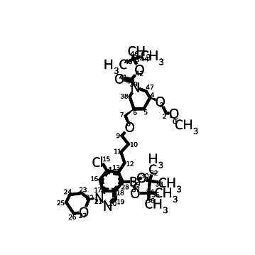 COCO[C@H]1C[C@@H](COCCCCc2c(Cl)cc3c(cnn3[C@H]3CCCCO3)c2B2OC(C)(C)C(C)(C)O2)CN(C(=O)OC(C)(C)C)C1